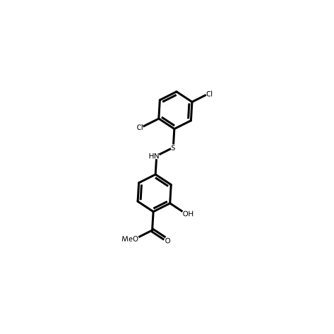 COC(=O)c1ccc(NSc2cc(Cl)ccc2Cl)cc1O